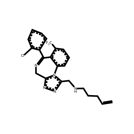 C=CCCCNCc1nnc2n1-c1cccc(C(F)(F)F)c1C(c1ccccc1Cl)=NC2